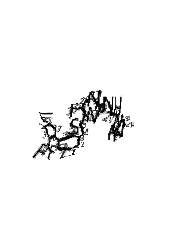 Fc1ccc(C(F)F)c(-c2cccc3cc(-c4nc(NCCn5ccnn5)ncc4F)sc23)c1